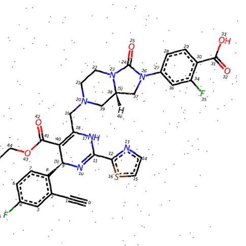 C#Cc1cc(F)ccc1[C@@H]1N=C(c2nccs2)NC(CN2CCN3C(=O)N(c4ccc(C(=O)O)c(F)c4)C[C@@H]3C2)=C1C(=O)OCC